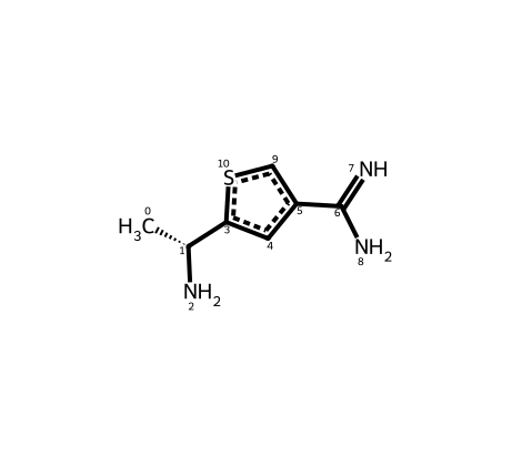 C[C@@H](N)c1cc(C(=N)N)cs1